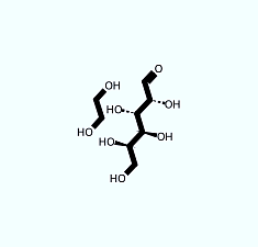 O=C[C@H](O)[C@@H](O)[C@@H](O)[C@H](O)CO.OCCO